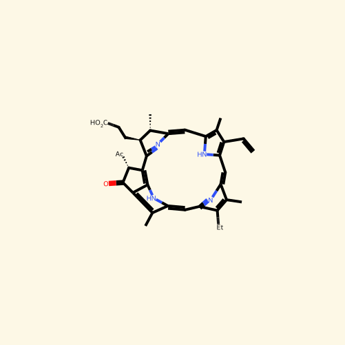 C=Cc1c(C)c2cc3nc(c4c5[nH]c(cc6nc(cc1[nH]2)C(C)=C6CC)c(C)c5C(=O)[C@@H]4C(C)=O)[C@@H](CCC(=O)O)[C@@H]3C